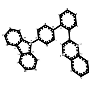 c1ccc(-c2cnc3ccccc3n2)c(-c2ccc(-n3c4ccccc4c4ccccc43)cc2)c1